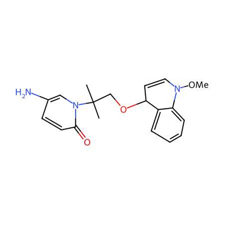 CON1C=CC(OCC(C)(C)n2cc(N)ccc2=O)c2ccccc21